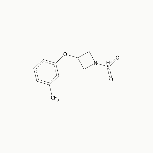 O=[SH](=O)N1CC(Oc2cccc(C(F)(F)F)c2)C1